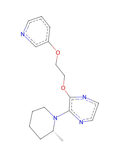 C[C@@H]1CCCCN1c1nccnc1OCCOc1cccnc1